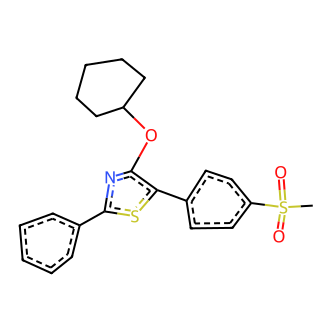 CS(=O)(=O)c1ccc(-c2sc(-c3ccccc3)nc2OC2CCCCC2)cc1